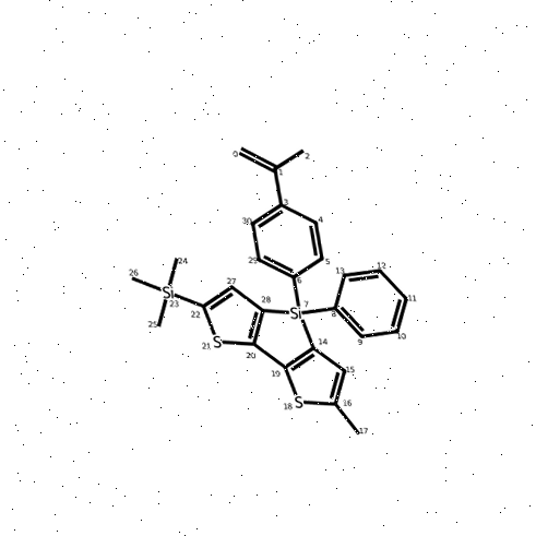 C=C(C)c1ccc([Si]2(c3ccccc3)c3cc(C)sc3-c3sc([Si](C)(C)C)cc32)cc1